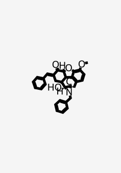 COc1ccc2c3c1O[C@H]1C(=O)/C(=C/c4ccccc4)C[C@@]4(O)[C@@H]5N(Cc6ccccc6)[C@]5(C2)C[C@]314